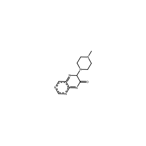 CN1CCN(C2N=c3cncnc3=NC2=O)CC1